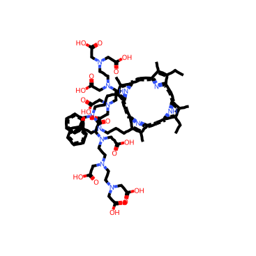 CCC1=C(C)c2cc3[nH]c(cc4nc(cc5[nH]c(cc1n2)c(C)c5CC)C(C)=C4CCCN(Cc1ccccc1)C(=O)CN(CCN(CCN(CC(=O)O)CC(=O)O)CC(=O)O)CC(=O)O)c(CCCN(Cc1ccccc1)C(=O)CN(CCN(CCN(CC(=O)O)CC(=O)O)CC(=O)O)CC(=O)O)c3C